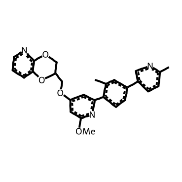 COc1cc(OCC2COc3ncccc3O2)cc(-c2ccc(-c3ccc(C)nc3)cc2C)n1